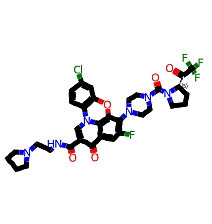 O=C(NCCN1CCCC1)c1cn2c3c(c(N4CCN(C(=O)N5CCC[C@H]5C(=O)C(F)(F)F)CC4)c(F)cc3c1=O)Oc1cc(Cl)ccc1-2